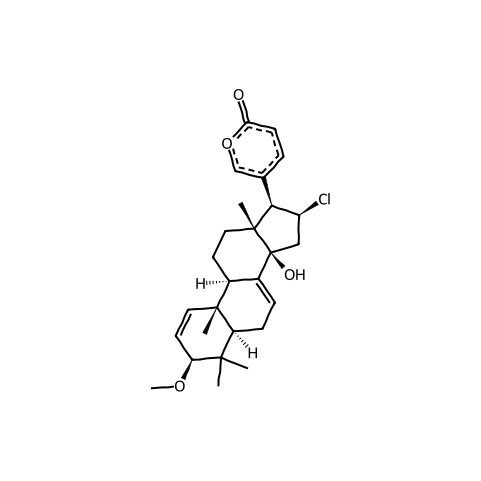 CO[C@H]1C=C[C@]2(C)[C@H]3CC[C@]4(C)[C@@H](c5ccc(=O)oc5)[C@@H](Cl)C[C@]4(O)C3=CC[C@H]2C1(C)C